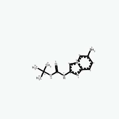 Bc1ccc2nc(NC(=O)OC(C)(C)C)cn2c1